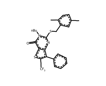 CCCCn1c(SCc2cc(C)ccc2C)nc2c(-c3ccccc3)c(C(F)(F)F)sc2c1=O